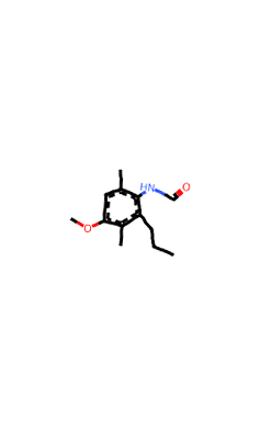 CCCc1c(C)c(OC)cc(C)c1NC=O